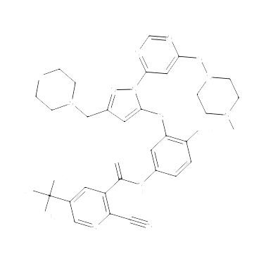 Cc1ccc(NC(=O)c2cc(C(C)(C)C)cnc2C#N)cc1Nc1cc(CN2CCOCC2)nn1-c1cc(NN2CCN(C)CC2)ncn1